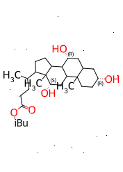 CCC(C)OC(=O)CCC(C)C1CCC2C3C(C[C@H](O)C12C)C1(C)CC[C@@H](O)CC1C[C@H]3O